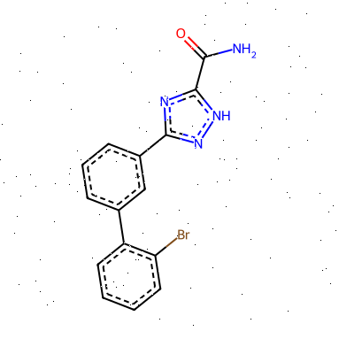 NC(=O)c1nc(-c2cccc(-c3ccccc3Br)c2)n[nH]1